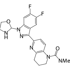 CNC(=O)N1CCCc2nc(-c3nn(C4NCCO4)c4cc(F)c(F)cc34)ccc21